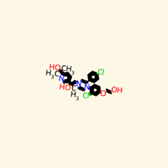 CC(C)(O)c1ccc([C@](C)(O)CN2CCN(c3ccc(OCCO)cc3Cl)[C@H](c3ccc(Cl)cc3)C2)cn1